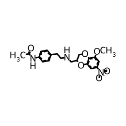 COc1cc([N+](=O)[O-])cc2c1OCC(CNCCc1ccc(NC(C)=O)cc1)O2